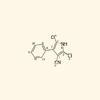 N#Cc1c(Cl)[nH]c(Cl)c1-c1ccccc1